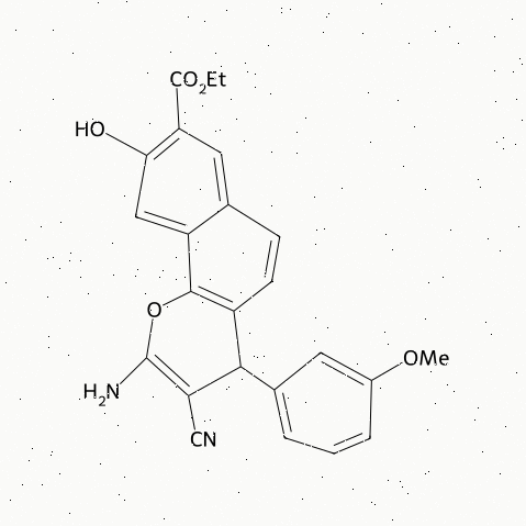 CCOC(=O)c1cc2ccc3c(c2cc1O)OC(N)=C(C#N)C3c1cccc(OC)c1